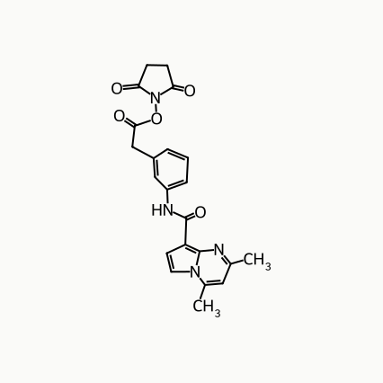 Cc1cc(C)n2ccc(C(=O)Nc3cccc(CC(=O)ON4C(=O)CCC4=O)c3)c2n1